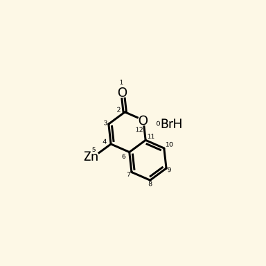 Br.O=c1c[c]([Zn])c2ccccc2o1